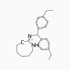 CCc1ccc(C(/N=C2/CCCCCCN2)c2ccc(CC)cc2)cc1